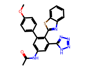 COc1ccc(-c2cc(NC(C)=O)cc(-c3nnn[nH]3)c2-c2nc3ccccc3s2)cc1